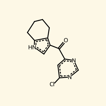 O=C(c1cc(Cl)ncn1)c1c[nH]c2c1CCCC2